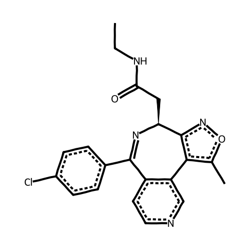 CCNC(=O)C[C@@H]1N=C(c2ccc(Cl)cc2)c2ccncc2-c2c1noc2C